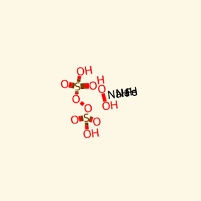 O=S(=O)(O)OOS(=O)(=O)O.OO.[Fe].[NaH].[NaH]